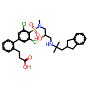 CN(CC(O)CNC(C)(C)CC1Cc2ccccc2C1)S(=O)(=O)c1c(Cl)cc(-c2ccccc2CCC(=O)O)cc1Cl